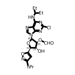 CCCc1cc([C@H]2O[C@@H](n3cnc4c(NC(CC)CC)nc(Cl)nc43)[C@H](OC=O)[C@@H]2O)on1